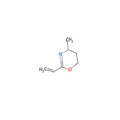 C=CC1=NC(C)CCO1